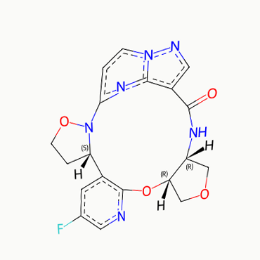 O=C1N[C@@H]2COC[C@@H]2Oc2ncc(F)cc2[C@@H]2CCON2c2ccn3ncc1c3n2